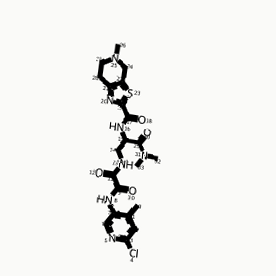 Cc1cc(Cl)ncc1NC(=O)C(=O)NCC(NC(=O)c1nc2c(s1)CN(C)CC2)C(=O)N(C)C